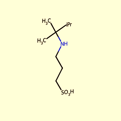 CC(C)C(C)(C)NCCCS(=O)(=O)O